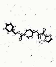 Cn1ccnc1C(=O)NCC1CCN(C(=O)OCc2ccccc2)CC1